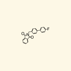 O=C1c2ccccc2C(=O)N1Cc1ccc(-c2ccc(F)cc2)cc1